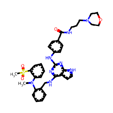 CN(c1ccccc1CNc1nc(Nc2ccc(C(=O)NCCCN3CCOCC3)cc2)nc2[nH]ccc12)c1ccccc1S(C)(=O)=O